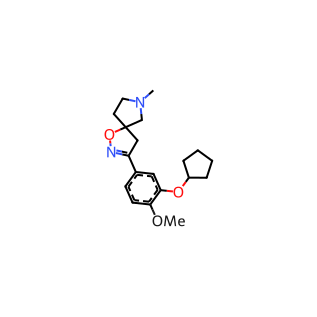 COc1ccc(C2=NOC3(CCN(C)C3)C2)cc1OC1CCCC1